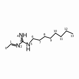 CC=NC(=N)NCCCCCCCC